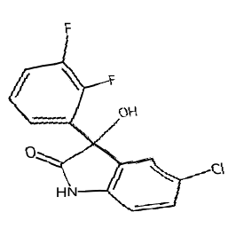 O=C1Nc2ccc(Cl)cc2C1(O)c1cccc(F)c1F